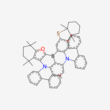 Cc1cc2c3c(c1)N(c1ccccc1-c1ccccc1)c1c(oc4c1C(C)(C)CCC4(C)C)B3c1cc3c(cc1N2c1ccccc1-c1ccccc1)C1(C)CCCCC1(C)S3